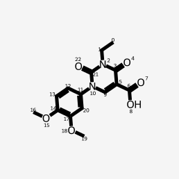 CCn1c(=O)c(C(=O)O)cn(-c2ccc(OC)c(OC)c2)c1=O